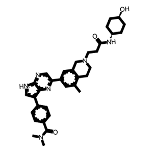 Cc1cc(-c2cnc3[nH]cc(-c4ccc(C(=O)N(C)C)cc4)c3n2)cc2c1CCN(CCC(=O)N[C@H]1CC[C@H](O)CC1)C2